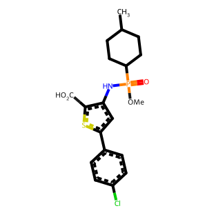 COP(=O)(Nc1cc(-c2ccc(Cl)cc2)sc1C(=O)O)C1CCC(C)CC1